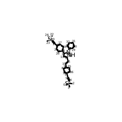 C[Si](C)(C)C#Cc1ccc(C=CC2=CC(c3ccc(C#C[Si](C)(C)C)cc3)N(c3ccccc3)N2)cc1